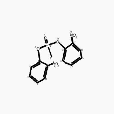 CP(=O)(Oc1ccccc1[N+](=O)[O-])Oc1ccccc1[N+](=O)[O-]